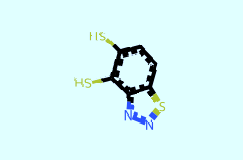 Sc1ccc2snnc2c1S